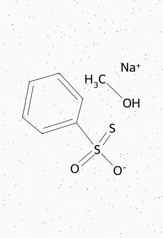 CO.O=S([O-])(=S)c1ccccc1.[Na+]